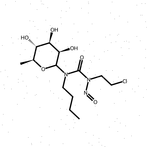 CCCCN(C(=O)N(CCCl)N=O)C1O[C@@H](C)[C@H](O)[C@@H](O)[C@H]1O